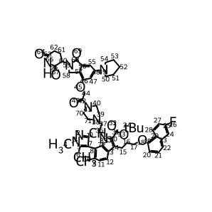 Cc1nn(C)c(C)c1-c1c(Cl)ccc2c(CCCOc3cccc4cc(F)ccc34)c(C(=O)OC(C)(C)C)n(CCN3CCN(C(=O)COc4cc(N5CCCCC5)cc5c4CN(C4CCC(=O)NC4=O)C5=O)CC3)c12